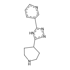 c1cncc(-c2nnc(C3CCNCC3)[nH]2)c1